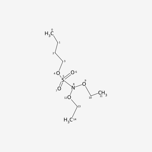 CCCCOS(=O)(=O)N(OCC)OCC